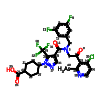 O=C(CN(Cc1cc(F)cc(F)c1)C(=O)c1cnn(C2CCC(C(=O)O)CC2)c1C(F)(F)F)c1c(Cl)ccnc1[AsH2]